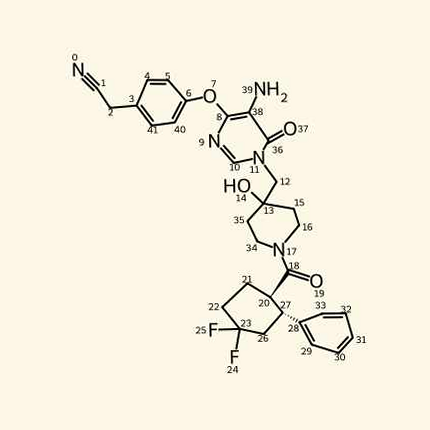 N#CCc1ccc(Oc2ncn(CC3(O)CCN(C(=O)[C@@H]4CCC(F)(F)C[C@H]4c4ccccc4)CC3)c(=O)c2N)cc1